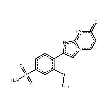 COc1cc(S(N)(=O)=O)ccc1-c1cn2ccc(=O)[nH]c2n1